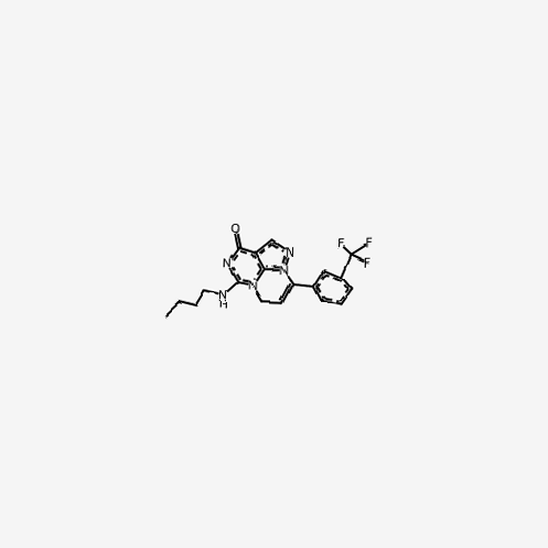 CCCCNc1nc(=O)c2cnn3c2n1CC=C3c1cccc(C(F)(F)F)c1